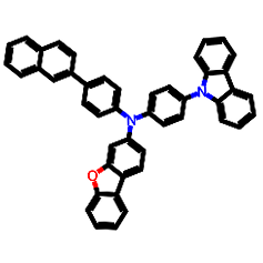 c1ccc2cc(-c3ccc(N(c4ccc(-n5c6ccccc6c6ccccc65)cc4)c4ccc5c(c4)oc4ccccc45)cc3)ccc2c1